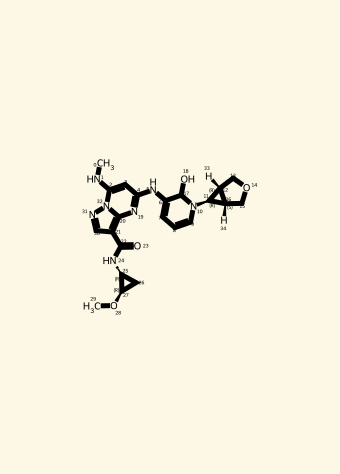 CNc1cc(NC2=CC=CN([C@H]3[C@@H]4COC[C@@H]43)C2O)nc2c(C(=O)N[C@@H]3C[C@H]3OC)cnn12